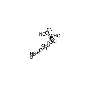 N#Cc1cc(C#N)cc(COc2nc(OC3CCc4c(-c5cccc(-c6ccc(OCCNCCO)cc6)c5Cl)cccc43)c(Cl)cc2C=O)c1